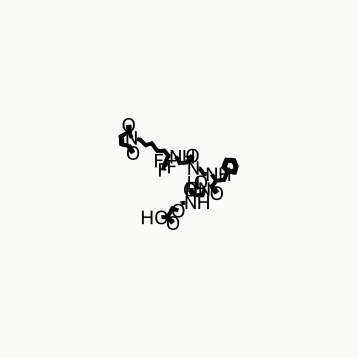 O=C(O)COCNC(=O)CNC(=O)C(Cc1ccccc1)NC(=O)CNC(=O)CNC(CCCCCN1C(=O)C=CC1=O)C(F)(F)F